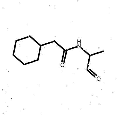 CC([C]=O)NC(=O)CC1CCCCC1